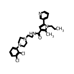 CCCn1c(-c2cccnc2)cc(C(=O)NCCN2CCN(c3cccc(Cl)c3Cl)CC2)c1C